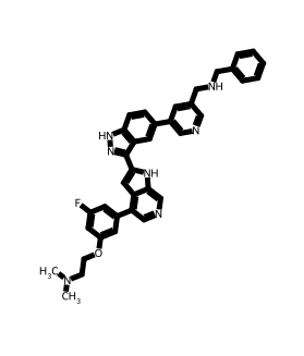 CN(C)CCOc1cc(F)cc(-c2cncc3[nH]c(-c4n[nH]c5ccc(-c6cncc(CNCc7ccccc7)c6)cc45)cc23)c1